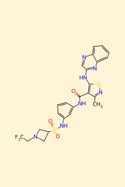 Cc1nsc(Nc2cnc3ccccc3n2)c1C(=O)Nc1cccc(NS(=O)(=O)C2CN(CC(F)(F)F)C2)c1